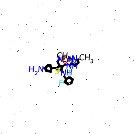 Cc1ccc(NC(=O)c2c(NCc3c(F)cccc3F)sc(-c3ccc(N)cc3)c2CN(C)C)nn1